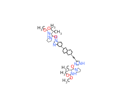 COC(=O)N[C@H](C(=O)N1CCC[C@H]1c1nc(C#Cc2ccc3cc(-c4ccc5[nH]c([C@@H]6CCCN6C(=O)[C@@H](NC(=O)OC)C(C)C)nc5c4)ccc3c2)c[nH]1)C(C)C